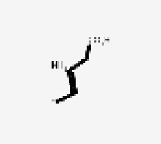 N.O=C(O)CC=CF